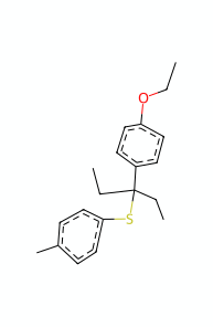 CCOc1ccc(C(CC)(CC)Sc2ccc(C)cc2)cc1